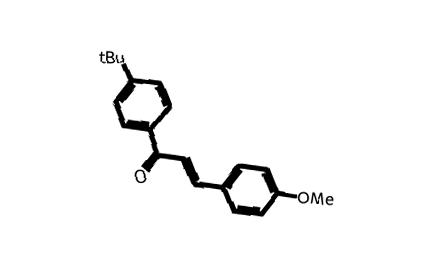 COc1ccc(/C=C/C(=O)c2ccc(C(C)(C)C)cc2)cc1